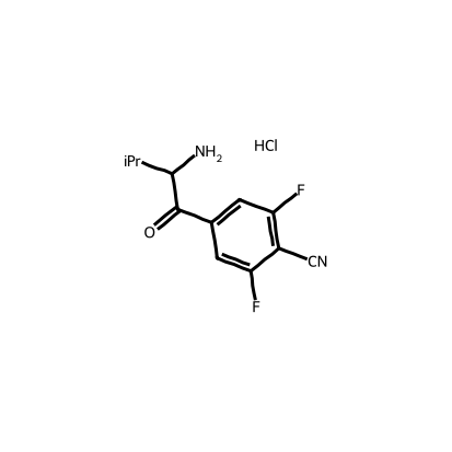 CC(C)C(N)C(=O)c1cc(F)c(C#N)c(F)c1.Cl